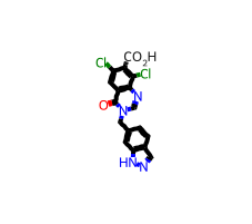 O=C(O)c1c(Cl)cc2c(=O)n(Cc3ccc4cn[nH]c4c3)cnc2c1Cl